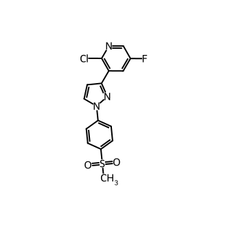 CS(=O)(=O)c1ccc(-n2ccc(-c3cc(F)cnc3Cl)n2)cc1